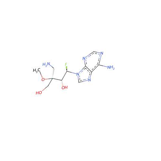 CO[C@](CN)(CO)[C@@H](O)[C@@H](F)n1cnc2c(N)ncnc21